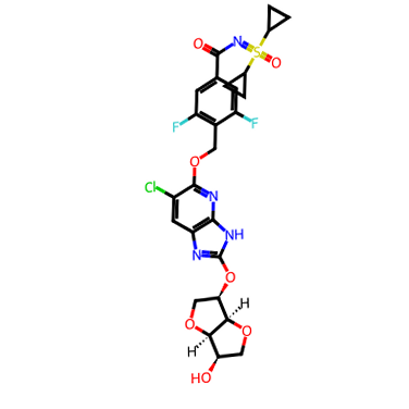 O=C(N=S(=O)(C1CC1)C1CC1)c1cc(F)c(COc2nc3[nH]c(O[C@@H]4CO[C@H]5[C@@H]4OC[C@H]5O)nc3cc2Cl)c(F)c1